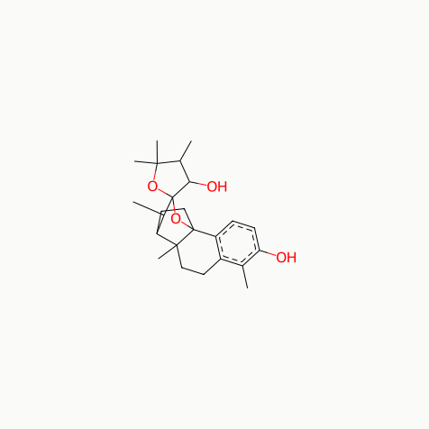 Cc1c(O)ccc2c1CCC1(C)C3CCC21OC1(OC(C)(C)C(C)C1O)C3C